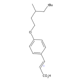 CC(CCOc1ccc(/C=C/C(=O)O)cc1)CC(C)(C)C